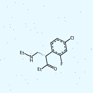 CCNC[C@@H](C(=O)CC)c1ccc(Cl)cc1F